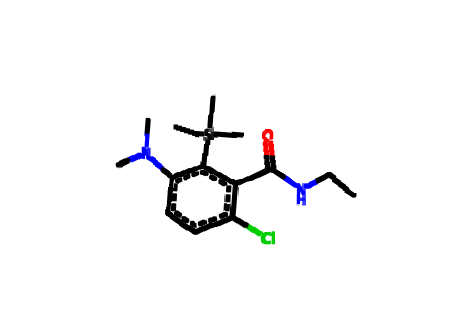 CCNC(=O)c1c(Cl)ccc(N(C)C)c1[Si](C)(C)C